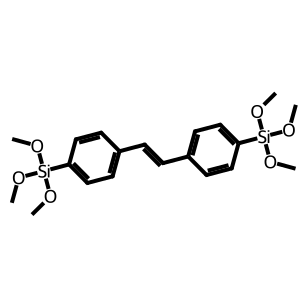 CO[Si](OC)(OC)c1ccc(/C=C/c2ccc([Si](OC)(OC)OC)cc2)cc1